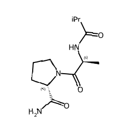 CC(C)C(=O)N[C@@H](C)C(=O)N1CCC[C@H]1C(N)=O